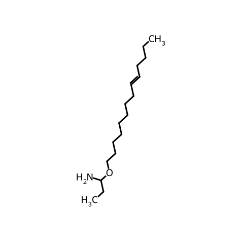 CCCC/C=C/CCCCCCCCOC(N)CC